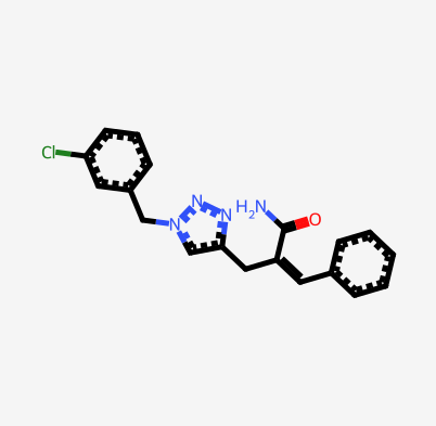 NC(=O)C(=Cc1ccccc1)Cc1cn(Cc2cccc(Cl)c2)nn1